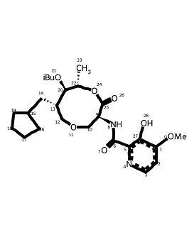 COc1ccnc(C(=O)N[C@H]2COC[C@H](CC3CCCC3)[C@@H](OCC(C)C)[C@H](C)OC2=O)c1O